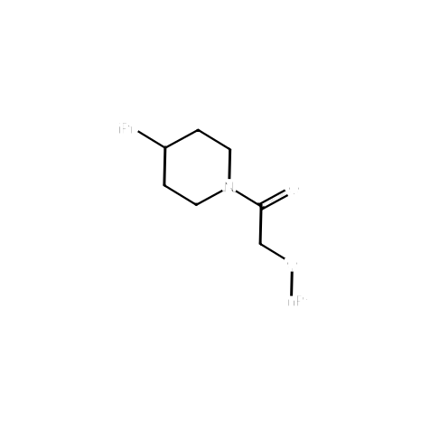 CCCOCC(=O)N1CCC(C(C)C)CC1